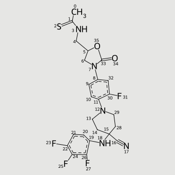 CC(=S)NCC1CN(c2ccc(N3CCC(C#N)(Nc4ccc(F)c(F)c4F)CC3)c(F)c2)C(=O)O1